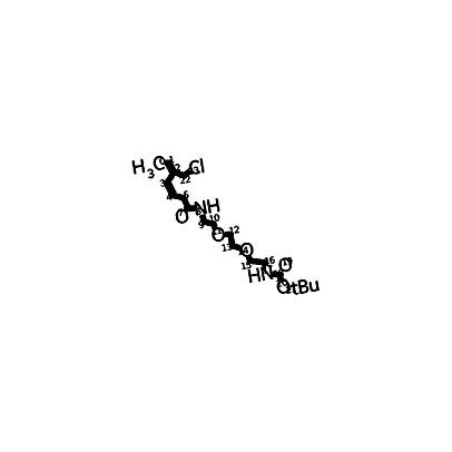 C/C=C(\C=C/CC(=O)NCCOCCOCCNC(=O)OC(C)(C)C)CCl